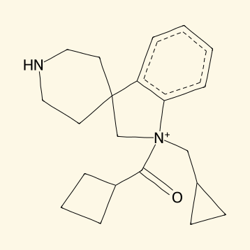 O=C(C1CCC1)[N+]1(CC2CC2)CC2(CCNCC2)c2ccccc21